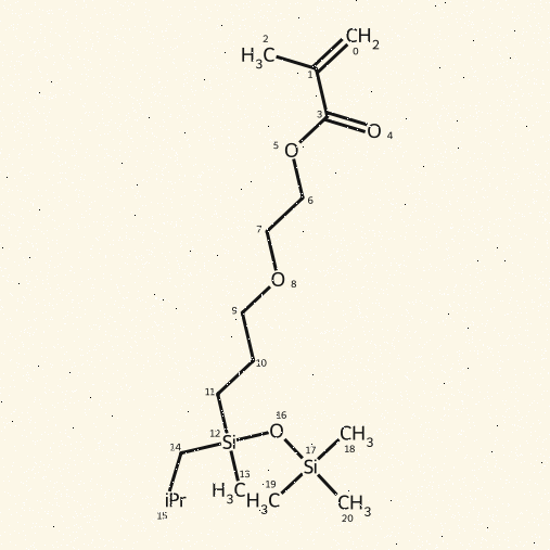 C=C(C)C(=O)OCCOCCC[Si](C)(CC(C)C)O[Si](C)(C)C